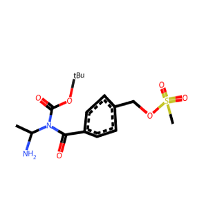 CC(N)N(C(=O)OC(C)(C)C)C(=O)c1ccc(COS(C)(=O)=O)cc1